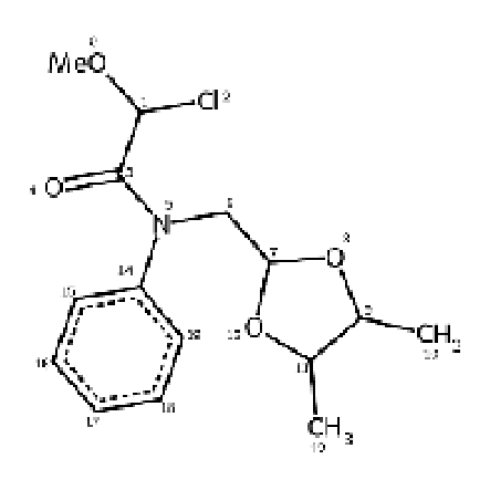 COC(Cl)C(=O)N(CC1OC(C)C(C)O1)c1ccccc1